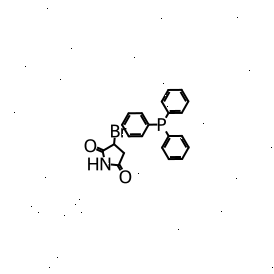 O=C1CC(Br)C(=O)N1.c1ccc(P(c2ccccc2)c2ccccc2)cc1